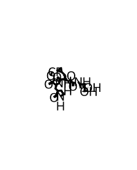 O=C(NC1CS(O)(O)C1)C(=O)NC(CC1CC1)C(=O)NC(CC1CCNC1=O)C(=O)COC(F)(F)F